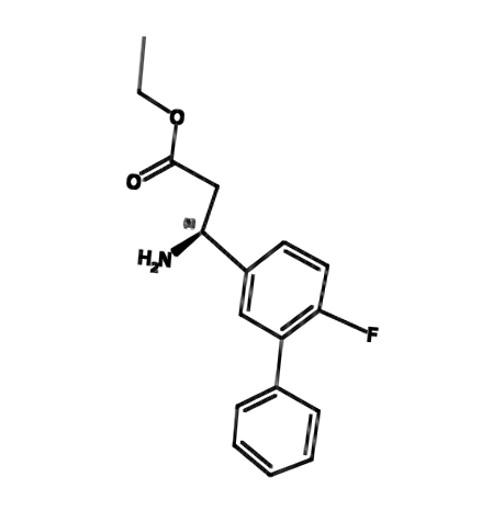 CCOC(=O)C[C@H](N)c1ccc(F)c(-c2ccccc2)c1